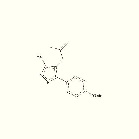 C=C(C)Cn1c(S)nnc1-c1ccc(OC)cc1